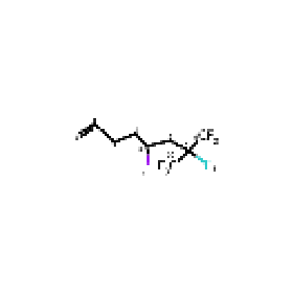 C=CCCC(I)CC(F)(C(F)(F)F)C(F)(F)F